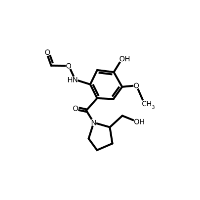 COc1cc(C(=O)N2CCCC2CO)c(NOC=O)cc1O